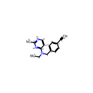 C#Cc1ccc(CN(CC(C)(C)C)c2ccnc(C#N)n2)cc1